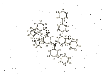 c1ccc(-c2ccc(-c3cc(N(c4cccc(-c5ccccc5)c4)c4ccc5c(c4)Oc4ccccc4C54c5ccccc5-c5ccccc54)cc4c3oc3ccccc34)cc2)cc1